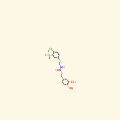 O=C(CCc1ccc(O)c(O)c1)NCCc1ccc(Cl)c(C(F)(F)F)c1